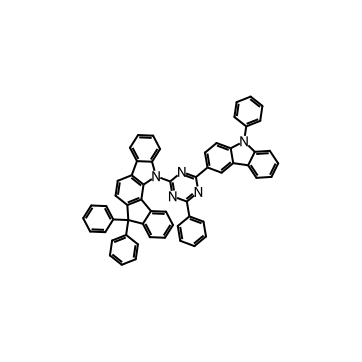 c1ccc(-c2nc(-c3ccc4c(c3)c3ccccc3n4-c3ccccc3)nc(-n3c4ccccc4c4ccc5c(c43)-c3ccccc3C5(c3ccccc3)c3ccccc3)n2)cc1